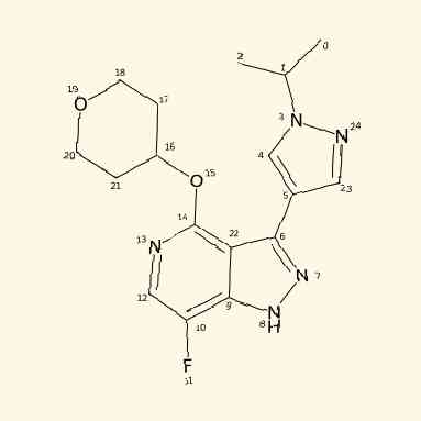 CC(C)n1cc(-c2n[nH]c3c(F)cnc(OC4CCOCC4)c23)cn1